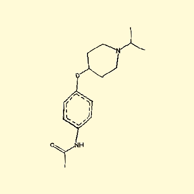 CC(=O)Nc1ccc(OC2CCN(C(C)C)CC2)cc1